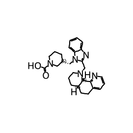 O=C(O)N1CCC[C@H](Cn2c(CN3CCC[C@H]4CCc5cccnc5[C@H]43)nc3ccccc32)C1